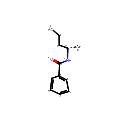 CC(=O)CC[C@@H](NC(=O)c1ccccc1)C(C)=O